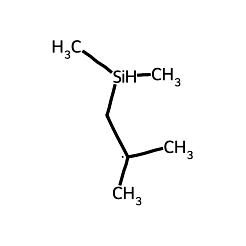 C[C](C)C[SiH](C)C